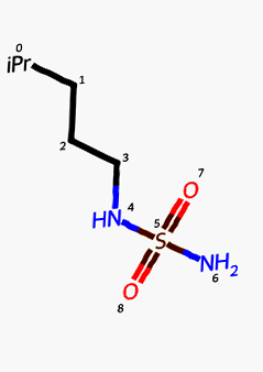 CC(C)CCCNS(N)(=O)=O